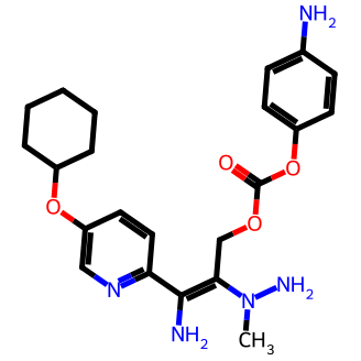 CN(N)/C(COC(=O)Oc1ccc(N)cc1)=C(\N)c1ccc(OC2CCCCC2)cn1